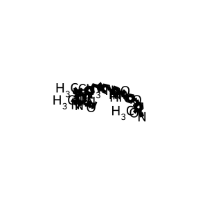 COc1cc(OC2CCC(NC(=O)c3ccc(N4CCC5(CC4)CC(Cc4ccc(C6=N[C@@H](Cc7ncco7)c7nnc(C)n7-c7sc(C)c(C)c76)c(F)c4)C5)nn3)CC2)ccc1C#N